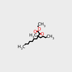 CCCCCCCC(C)(CCCC)C(=O)C(=O)OCC